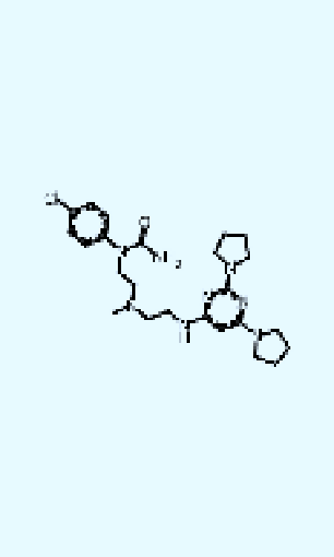 CN(CCNc1cc(N2CCCC2)nc(N2CCCC2)n1)CCN(C(N)=O)c1ccc(Cl)cc1